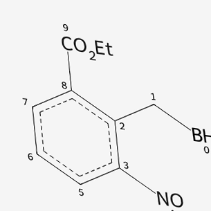 BCc1c(N=O)cccc1C(=O)OCC